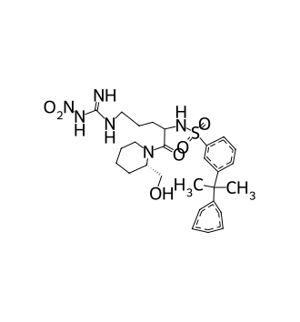 CC(C)(c1ccccc1)c1cccc(S(=O)(=O)NC(CCCNC(=N)N[N+](=O)[O-])C(=O)N2CCCC[C@H]2CO)c1